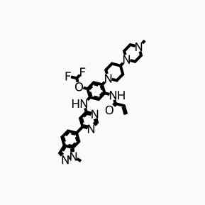 C=CC(=O)Nc1cc(Nc2cc(-c3ccc4cnn(C)c4c3)ncn2)c(OC(F)F)cc1N1CCC(N2CCN(C)CC2)CC1